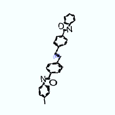 Cc1ccc2nc(-c3ccc(/C=C/c4ccc(-c5nc6ccccc6o5)cc4)cc3)oc2c1